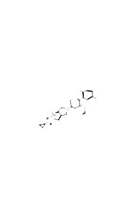 O=C(O)N[C@H]1C[C@@H](N2Cc3cn(S(=O)(=O)C4CC4)nc3C2)CO[C@H]1c1cc(F)ccc1F